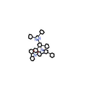 c1ccc(-c2ccc3c(c2)c2ccc(-n4c5ccccc5c5ccccc54)cc2n3-c2c(-c3ccccc3)cc(-c3nc(-c4ccccc4)cc(-c4ccccc4)n3)cc2-c2ccccc2)cc1